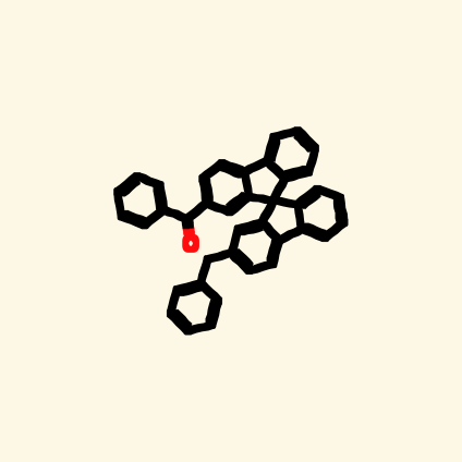 O=C(c1ccccc1)c1ccc2c(c1)C1(c3ccccc3-c3ccc(Cc4ccccc4)cc31)c1ccccc1-2